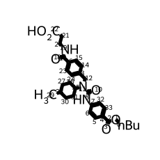 CCCCOC(=O)c1ccc(NC(=O)N(Cc2ccc(C(=O)NCCC(=O)O)cc2)C2CCC(C)CC2)cc1